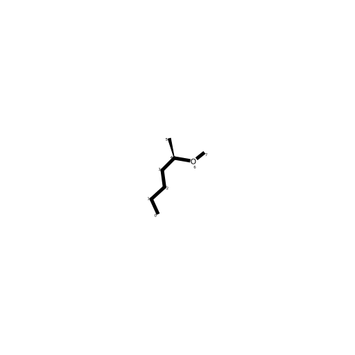 CCCC[C@@H](C)OC